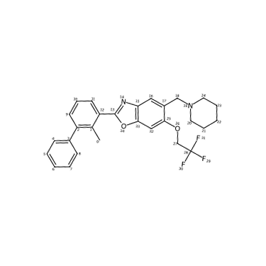 Cc1c(-c2ccccc2)cccc1-c1nc2cc(CN3CCCCC3)c(OCC(F)(F)F)cc2o1